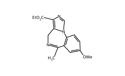 CCOC(=O)c1ncn2c1CN=C(C)c1cc(OC)ccc1-2